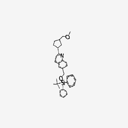 COCC1CCC(c2ccc3cc(CO[Si](c4ccccc4)(c4ccccc4)C(C)(C)C)ccc3n2)C1